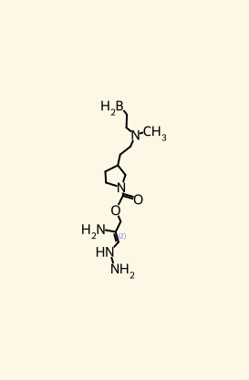 BCCN(C)CCC1CCN(C(=O)OC/C(N)=C/NN)C1